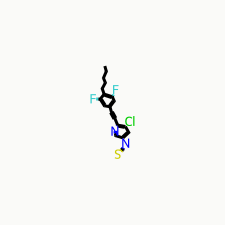 CCCCCc1c(F)cc(C#Cc2ncc(N=C=S)cc2Cl)cc1F